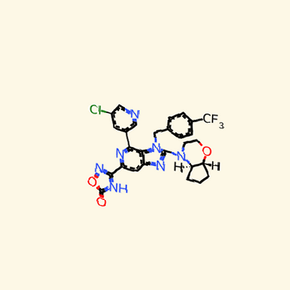 O=c1[nH]c(-c2cc3nc(N4CCO[C@@H]5CCC[C@H]54)n(Cc4ccc(C(F)(F)F)cc4)c3c(-c3cncc(Cl)c3)n2)no1